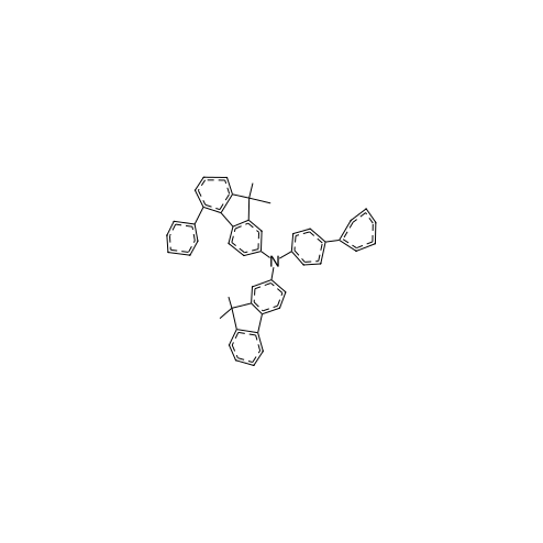 CC1(C)c2ccccc2-c2ccc(N(c3ccc(-c4ccccc4)cc3)c3ccc4c(c3)C(C)(C)c3cccc(-c5ccccc5)c3-4)cc21